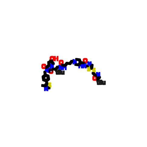 Cc1ncsc1-c1ccc(CNC(=O)C2C[C@@H](O)CN2C(=O)C(CNC(=O)CCCCN2CCC(C(=O)Nc3ncc(SCc4ncc(C(C)(C)C)o4)s3)CC2)C(C)(C)C)cc1